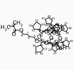 C=C(C)C(=O)OCCCCO[Si]1(C2CCCC2)O[Si]2(C3CCCC3)O[Si](OS)(C3CCCC3)O[Si]3(C4CCCC4)O[Si](C4CCCC4)(O2)O[Si](C2CCCC2)(O1)O[Si@@](C)(C1CCCC1)O3